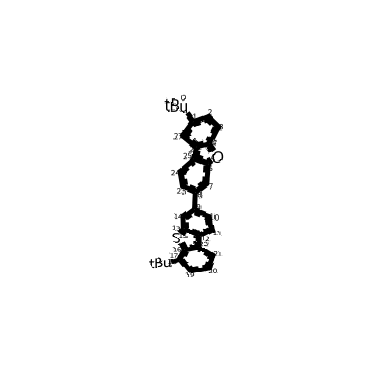 CC(C)(C)c1ccc2oc3cc(-c4ccc5c(c4)sc4c(C(C)(C)C)cccc45)ccc3c2c1